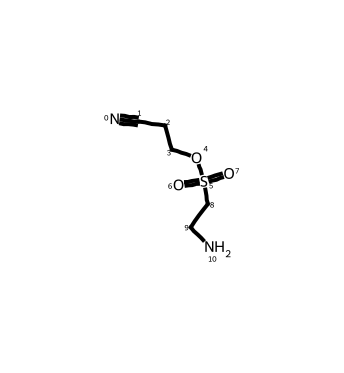 N#CCCOS(=O)(=O)CCN